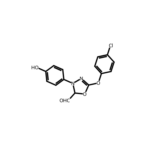 O=CC1OC(Oc2ccc(Cl)cc2)=NN1c1ccc(O)cc1